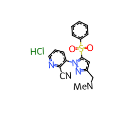 CNCc1cc(S(=O)(=O)c2ccccc2)n(-c2cccnc2C#N)n1.Cl